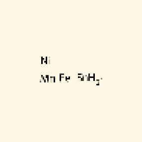 [Fe].[Mn].[Ni].[SnH2]